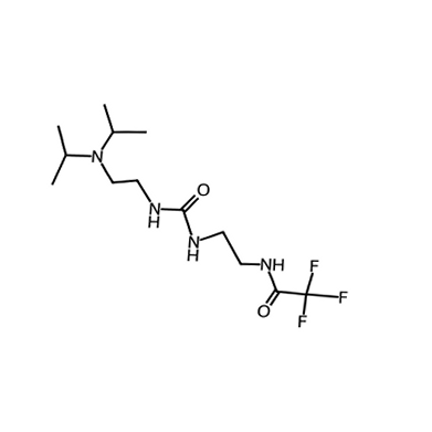 CC(C)N(CCNC(=O)NCCNC(=O)C(F)(F)F)C(C)C